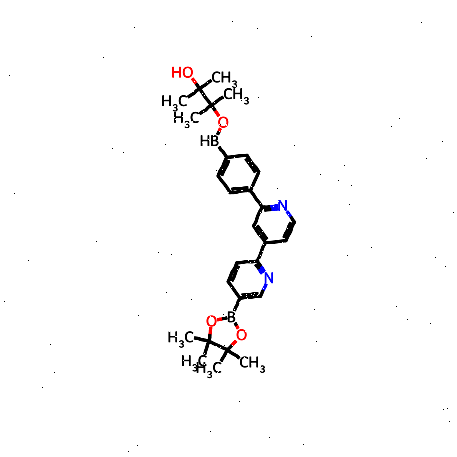 CC(C)(O)C(C)(C)OBc1ccc(-c2cc(-c3ccc(B4OC(C)(C)C(C)(C)O4)cn3)ccn2)cc1